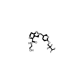 O=C(NCCO)c1nccc2nn(Cc3ccc(OCC(F)(F)C(F)F)nc3)cc12